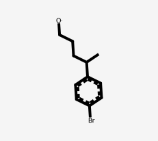 CC(CCC[O])c1ccc(Br)cc1